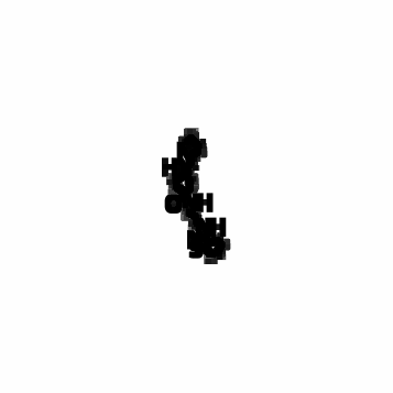 O=C(NCCCNc1nsc2ccccc12)c1ccc(NCc2ccccn2)cc1